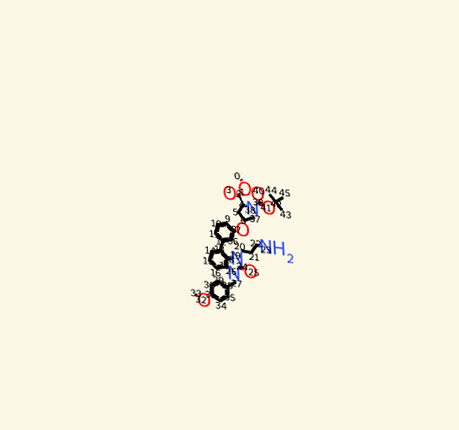 COC(=O)[C@@H]1C[C@H](Oc2cccc(-c3cccc4c3n(CCCN)c(=O)n4Cc3ccc(OC)cc3)c2)CN1C(=O)OC(C)(C)C